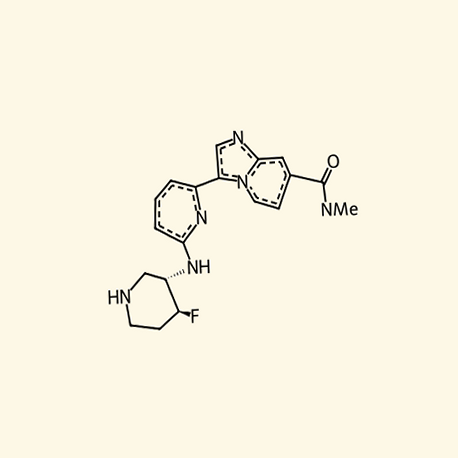 CNC(=O)c1ccn2c(-c3cccc(N[C@H]4CNCC[C@@H]4F)n3)cnc2c1